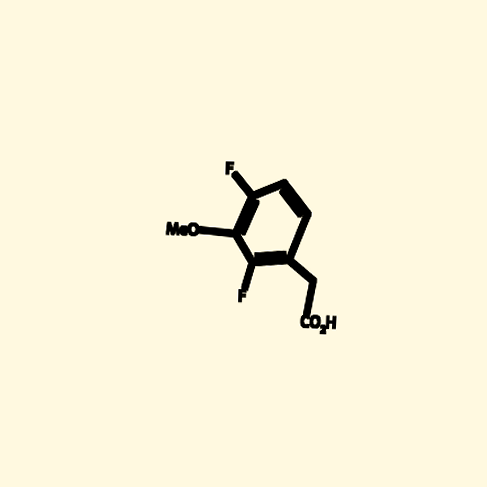 COc1c(F)ccc(CC(=O)O)c1F